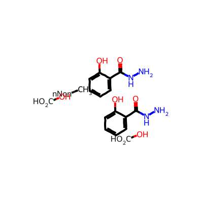 CCCCCCCCCC.NNC(=O)c1ccccc1O.NNC(=O)c1ccccc1O.O=C(O)O.O=C(O)O